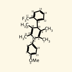 COc1ccc(N2C(C)=C(C)C(c3ccccc3C(F)(F)F)C(C)=C2C)cc1